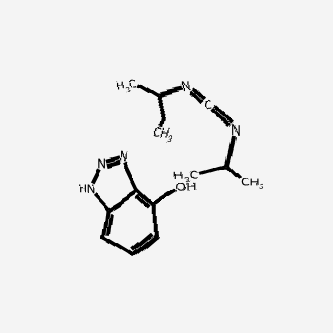 CC(C)N=C=NC(C)C.Oc1cccc2[nH]nnc12